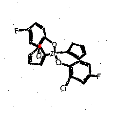 Fc1ccc([O][Zr]([O]c2ccc(F)cc2Cl)([C]2=CC=CC2)[C]2=CC=CC2)c(Cl)c1